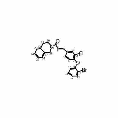 O=C(/C=C/c1ccc(Sc2ccccc2Br)c(Cl)c1)N1CCC2CC=CC=C2C1